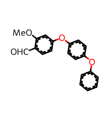 COc1cc(Oc2ccc(Oc3ccccc3)cc2)ccc1C=O